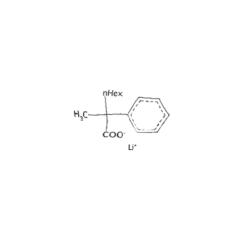 CCCCCCC(C)(C(=O)[O-])c1ccccc1.[Li+]